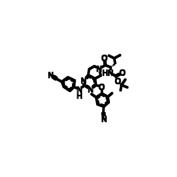 Cc1cc(C#N)cc(C)c1Oc1nc(Nc2ccc(C#N)cc2)nc2c1CN(C(=O)[C@H](CC(C)C)NC(=O)OC(C)(C)C)CC2